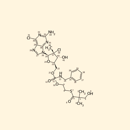 CC(C)(CO)C(=O)SCCOP(=O)(NCc1ccccc1)OC[C@H]1O[C@@H](n2cnc3c(Cl)nc(N)nc32)[C@](C)(Cl)[C@@H]1O